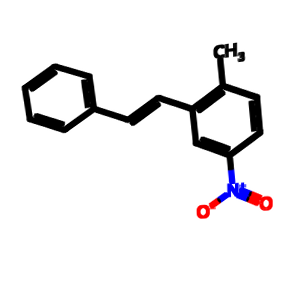 Cc1ccc([N+](=O)[O-])cc1C=Cc1ccccc1